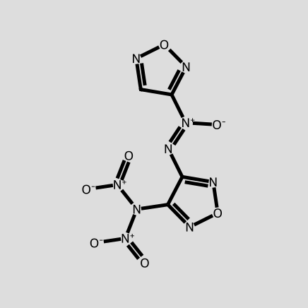 O=[N+]([O-])N(c1nonc1N=[N+]([O-])c1cnon1)[N+](=O)[O-]